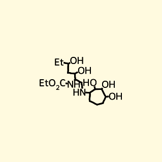 CCOC(=O)NC(CNC1CCCC(O)C(O)C1O)C(O)CC(O)CC